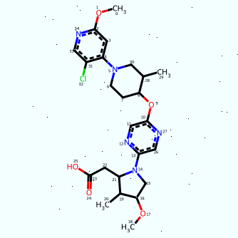 COc1cc(N2CCC(Oc3cnc(N4CC(OC)C(C)C4CC(=O)O)cn3)C(C)C2)c(Cl)cn1